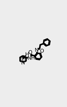 O=C(N[C@@H]1CN2CCC1CC2)c1cccc2oc(Cc3ccccc3)nc12